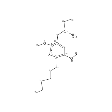 CCCCCCc1cc(OC)c(C[C@@H](N)CC)cc1OC